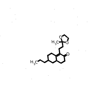 CCCC1CCC2=C(CCC3(C)OCCO3)C(=O)CCC2C1